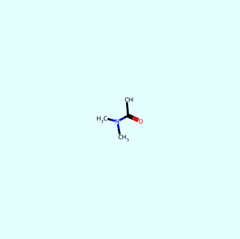 [CH]C(=O)N(C)C